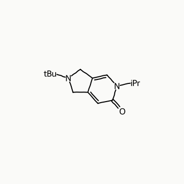 CC(C)n1cc2c(cc1=O)CN(C(C)(C)C)C2